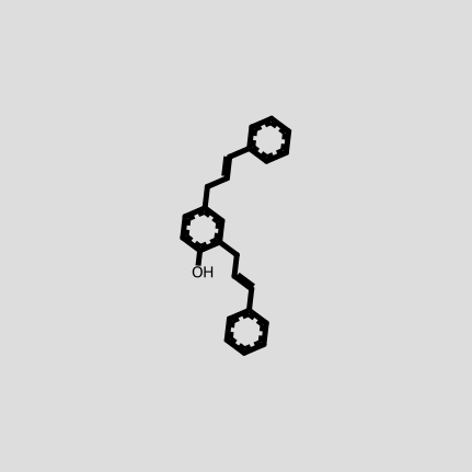 Oc1ccc(C/C=C/c2ccccc2)cc1C/C=C/c1ccccc1